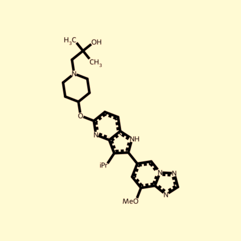 COc1cc(-c2[nH]c3ccc(OC4CCN(CC(C)(C)O)CC4)nc3c2C(C)C)cn2ncnc12